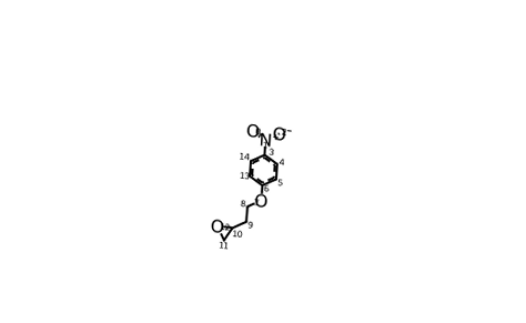 O=[N+]([O-])c1ccc(OCCC2CO2)cc1